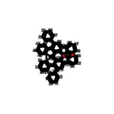 O=C(c1c2c(cc(-c3ccccc3)c1-c1ccccc1)-c1ccccc1C2)c1c2c(cc(-c3ccccc3)c1-c1ccccc1)-c1ccccc1C2